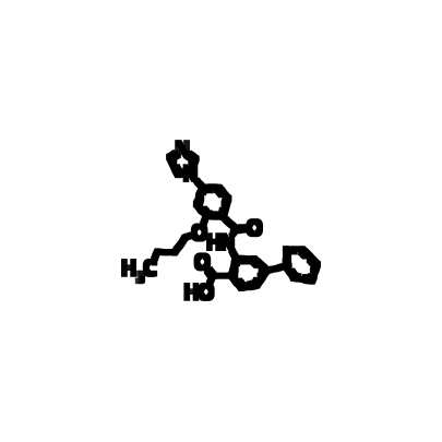 CCCCOc1cc(-n2ccnc2)ccc1C(=O)Nc1cc(-c2ccccc2)ccc1C(=O)O